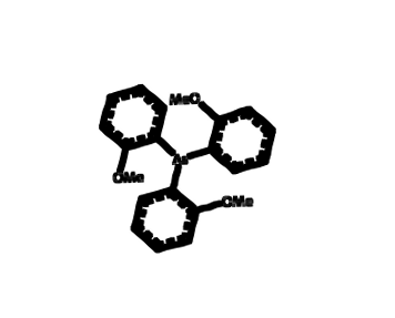 COc1ccccc1[As](c1ccccc1OC)c1ccccc1OC